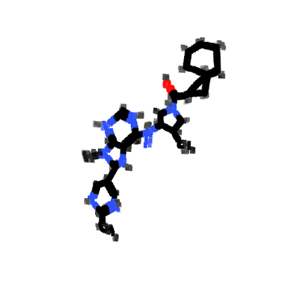 CCn1c(-c2cnc(C)nc2)nc2c(NC3CN(C(=O)C4CC45CCCCC5)CC3C)ncnc21